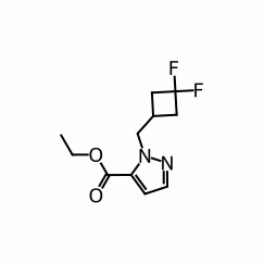 CCOC(=O)c1ccnn1CC1CC(F)(F)C1